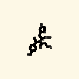 NCC(=O)N(C(=O)c1ccc(O)cc1)[C@H]([C]=O)Cc1c[nH]cn1